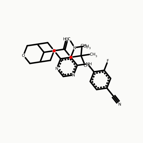 CN(C)c1c(Nc2ccc(C#N)cc2F)ncnc1OC1C2COCC1CN(C(=O)OC(C)(C)C)C2